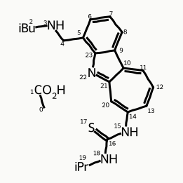 CC(=O)O.CCC(C)NCc1cccc2c3cccc(NC(=S)NC(C)C)cc-3nc12